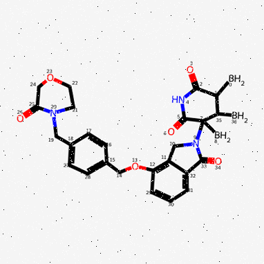 BC1C(=O)NC(=O)C(B)(N2Cc3c(OCc4ccc(CN5CCOCC5=O)cc4)cccc3C2=O)C1B